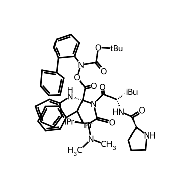 CC[C@@H](C)[C@H](NC(=O)[C@@H]1CCCN1)C(=O)N(C(=O)[C@H](C(C)C)N(C)C)[C@](Nc1ccccc1)(C(=O)ON(C(=O)OC(C)(C)C)c1ccccc1-c1ccccc1)C(c1ccccc1)C(C)C